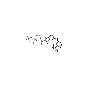 CNC(=O)c1cc(Oc2ccc3nc(NC4CCCN(C(=O)OC(C)(C)C)C4)sc3c2)ccn1